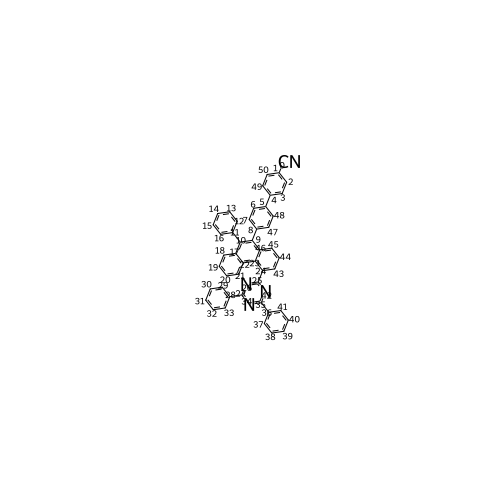 N#Cc1ccc(-c2ccc(-c3c(-c4ccccc4)c4ccccc4c4c(-c5nc(-c6ccccc6)nc(-c6ccccc6)n5)cccc34)cc2)cc1